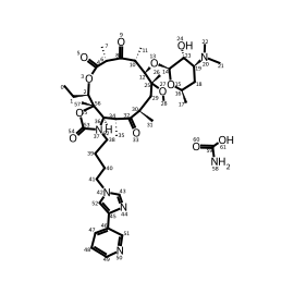 CC[C@H]1OC(=O)[C@H](C)C(=O)[C@H](C)[C@@H](O[C@@H]2O[C@H](C)C[C@H](N(C)C)[C@H]2O)[C@](C)(OC)C[C@@H](C)C(=O)[C@H](C)[C@H]2N(CCCCn3cnc(-c4cccnc4)c3)C(=O)O[C@]12C.NC(=O)O